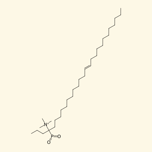 CCCCCCCCCCCC=CCCCCCCCCCCCC(CCC)(P(=O)=O)[N+](C)(C)C